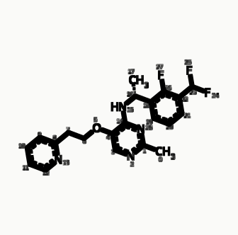 Cc1ncc(OCCc2ccccn2)c(N[C@H](C)c2cccc(C(F)F)c2F)n1